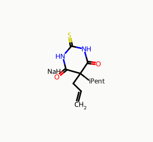 C=CCC1(C(C)CCC)C(=O)NC(=S)NC1=O.[NaH]